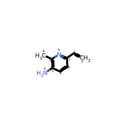 C=Cc1ccc(N)c(C)n1